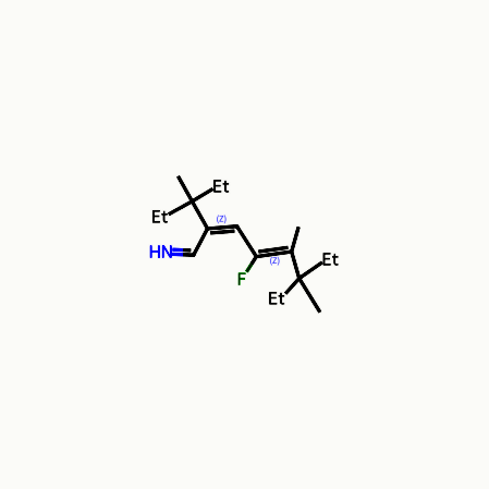 CCC(C)(CC)/C(C=N)=C/C(F)=C(\C)C(C)(CC)CC